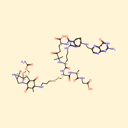 CO[C@@]12[C@H](COC(N)=O)C3=C(C(=O)C(C)=C(NCCCSSC[C@H](NC(=O)[C@H](CCCNC(=N)N)NC(C)(C)C(=O)CC[C@H](NC(=O)c4ccc(NCc5cnc6nc(N)[nH]c(=O)c6n5)cc4)C(=O)O)C(=O)N[C@@H](C)C(=O)NCC(=O)O)C3=O)N1CC1N[C@@H]12